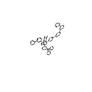 C1=C(c2cccc(-n3c4ccccc4c4ccccc43)c2)N=C(c2cccc(-c3ccccc3)c2)NC1c1ccc(-c2cccc(-c3cccc(-c4ccccc4)c3)c2)cc1